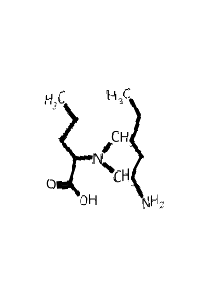 CCCC(C(=O)O)N(C)C.CCCCCN